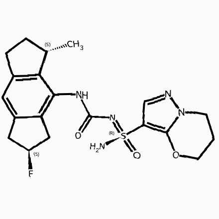 C[C@H]1CCc2cc3c(c(NC(=O)N=[S@@](N)(=O)c4cnn5c4OCCC5)c21)C[C@@H](F)C3